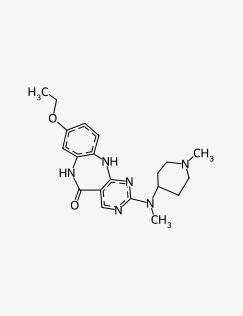 CCOc1ccc2c(c1)NC(=O)c1cnc(N(C)C3CCN(C)CC3)nc1N2